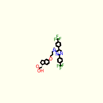 CN(CCCOc1ccc2c(c1)CC[C@H]2CC(=O)O)c1nc(-c2ccc(C(F)(F)F)cc2)ncc1-c1ccc(C(F)(F)F)cc1